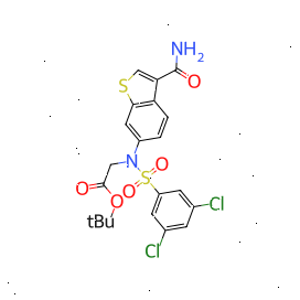 CC(C)(C)OC(=O)CN(c1ccc2c(C(N)=O)csc2c1)S(=O)(=O)c1cc(Cl)cc(Cl)c1